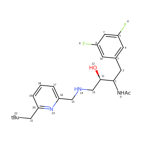 CC(=O)NC(Cc1cc(F)cc(F)c1)[C@H](O)CNCc1cccc(CC(C)(C)C)n1